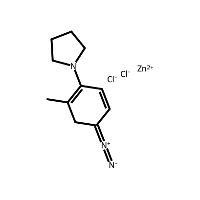 CC1=C(N2CCCC2)C=CC(=[N+]=[N-])C1.[Cl-].[Cl-].[Zn+2]